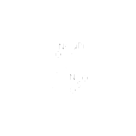 CC(C)[C@@]1(C#N)CCc2c(c3ccccc3n2S(C)(=O)=O)C1=O